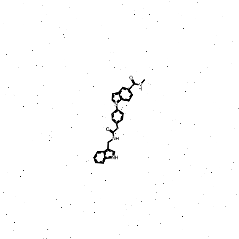 CNC(=O)c1ccc2c(ccn2-c2ccc(CC(=O)NCc3c[nH]c4ccccc34)cc2)c1